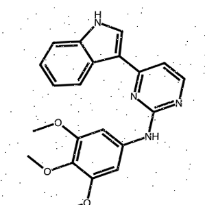 COc1cc(Nc2nccc(-c3c[nH]c4ccccc34)n2)cc(OC)c1OC